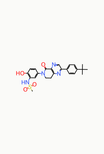 CC(C)(C)c1ccc(-c2cnc3c(n2)CCN(c2ccc(O)c(NS(C)(=O)=O)c2)C3=O)cc1